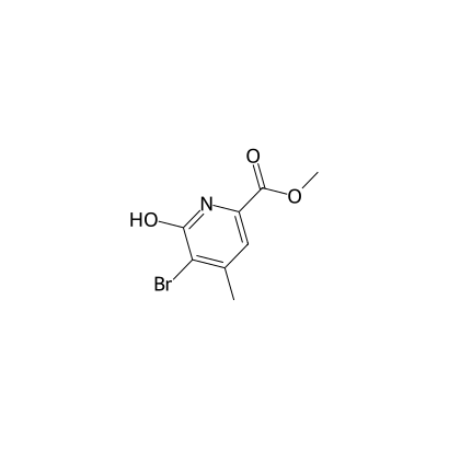 COC(=O)c1cc(C)c(Br)c(O)n1